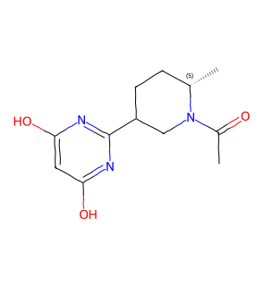 CC(=O)N1CC(c2nc(O)cc(O)n2)CC[C@@H]1C